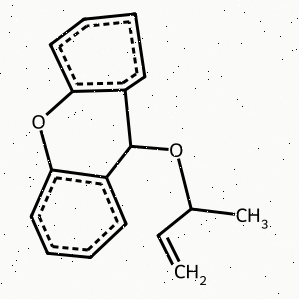 C=CC(C)OC1c2ccccc2Oc2ccccc21